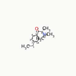 CCc1ccc(C(=O)[C@H](C)N(C)C)cc1